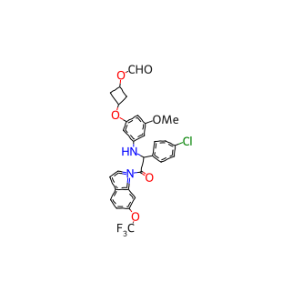 COc1cc(NC(C(=O)n2ccc3ccc(OC(F)(F)F)cc32)c2ccc(Cl)cc2)cc(OC2CC(OC=O)C2)c1